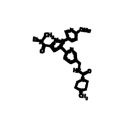 CCN(C)C(=O)c1cc(-c2ccc(CNC(=O)N3CCN(C)CC3)cn2)n(-c2ccc(OC)nc2)n1